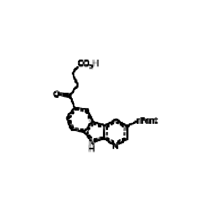 CCCCCc1cnc2[nH]c3ccc(C(=O)CCC(=O)O)cc3c2c1